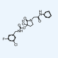 O=C(CN1CCC(O)(OC(=O)NCc2cc(F)cc(Cl)c2)C1=O)Nc1ccccc1